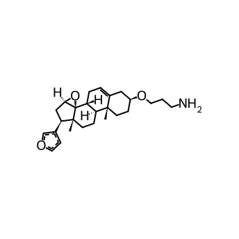 C[C@]12CC[C@H](OCCCN)CC1=CC[C@@H]1[C@@H]2CC[C@]2(C)[C@@H](c3ccoc3)C[C@H]3O[C@]132